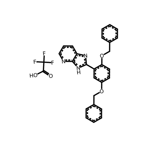 O=C(O)C(F)(F)F.c1ccc(COc2ccc(OCc3ccccc3)c(-c3nc4cccnc4[nH]3)c2)cc1